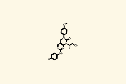 COc1ccc(N2Cc3cnc(Nc4ccc(F)cc4)nc3N([C@@H](C)CO)C2=O)cc1